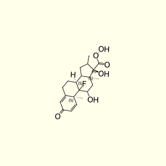 CC1CC2[C@@H]3CCC4=CC(=O)C=C[C@]4(C)C3(F)C(O)C[C@]2(C)[C@@]1(O)C(=O)OO